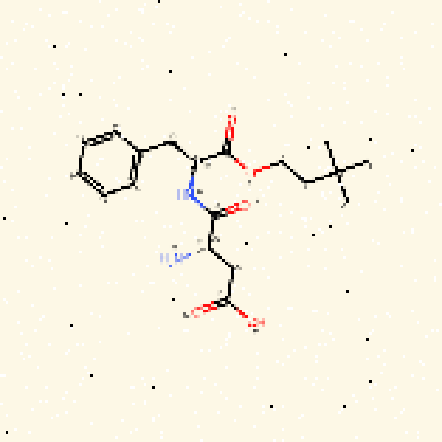 CC(C)(C)CCOC(=O)[C@H](Cc1ccccc1)NC(=O)[C@@H](N)CC(=O)O